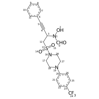 O=CN(O)C(C#Cc1ccccc1)CS(=O)(=O)N1CCN(c2ccc(C(F)(F)F)cc2)CC1